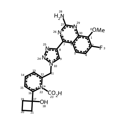 COc1c(F)ccc2c(-c3cn(Cc4cccc(C5(O)CCC5)[n+]4C(=O)O)nn3)nc(N)nc12